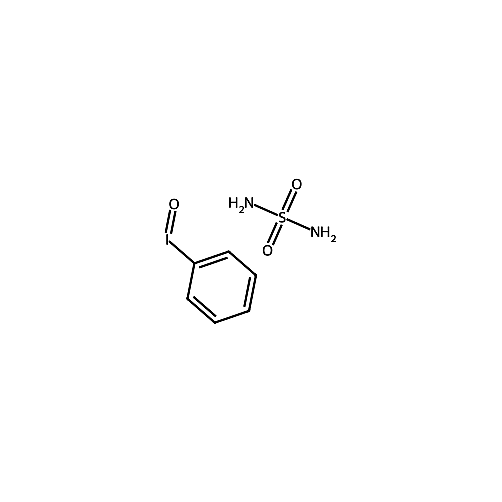 NS(N)(=O)=O.O=Ic1ccccc1